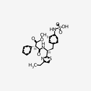 CCc1csc([C@H](Cc2ccc(NS(=O)(=O)O)cc2)NC(=O)[C@@H](C(=O)OC)c2ccccc2)n1